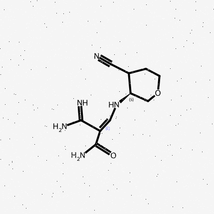 N#CC1CCOC[C@H]1N/C=C(\C(=N)N)C(N)=O